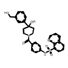 O=C(c1ccc(NS(=O)(=O)c2cccc3cccnc23)cc1)N1CCC(O)(c2cccc(CO)c2)CC1